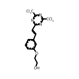 OCCOc1cccc(/C=C/c2nc(C(Cl)(Cl)Cl)nc(C(Cl)(Cl)Cl)n2)c1